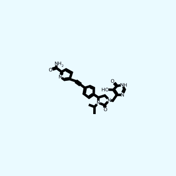 CC(C)N1C(=O)N(Cc2nc[nH]c(=O)c2O)CC1c1ccc(C#Cc2ccc(C(N)=O)nc2)cc1